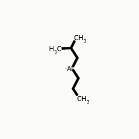 CC[CH2][Al][CH2]C(C)C